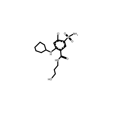 NS(=O)(=O)c1cc(C(=O)NCCCO)c(NC2CCCCC2)cc1Cl